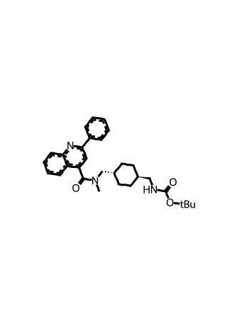 CN(C[C@H]1CC[C@H](CNC(=O)OC(C)(C)C)CC1)C(=O)c1cc(-c2ccccc2)nc2ccccc12